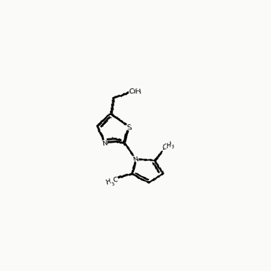 Cc1ccc(C)n1-c1ncc(CO)s1